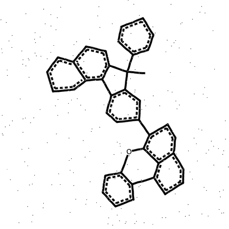 CC1(c2ccccc2)c2cc(-c3ccc4cccc5c4c3Oc3ccccc3-5)ccc2-c2c1ccc1ccccc21